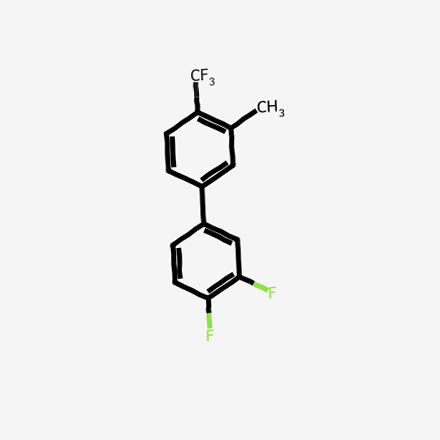 Cc1cc(-c2ccc(F)c(F)c2)ccc1C(F)(F)F